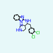 Clc1ccc(CC(Nc2nc3ccccc3[nH]2)C2CCNCC2)cc1Cl